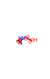 CCO[Si](CCCNC(C)OC(=O)CCC(=O)O)(OCC)OCC